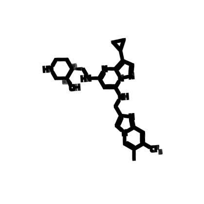 Cc1cn2cc(CNc3cc(NC[C@H]4CCNC[C@@H]4O)nc4c(C5CC5)cnn34)nc2cc1C(F)(F)F